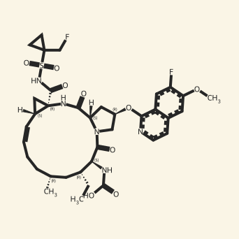 CC[C@@H]1C[C@H](C)CCC=C[C@@H]2C[C@@]2(C(=O)NS(=O)(=O)C2(CF)CC2)NC(=O)[C@@H]2C[C@@H](Oc3nccc4cc(OC)c(F)cc34)CN2C(=O)[C@H]1NC(=O)O